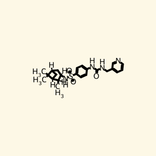 C[C@@H]1[C@H]2C[C@@H](C[C@H]1NS(=O)(=O)c1ccc(NC(=O)NCc3cccnc3)cc1)C2(C)C